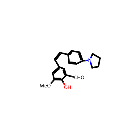 COc1cc(/C=C\c2ccc(N3CCCC3)cc2)cc(C=O)c1O